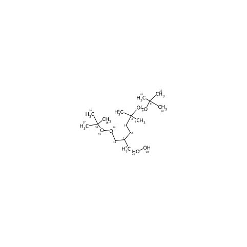 CC(CCC(C)(C)OOC(C)(C)C)COOC(C)(C)C.OO